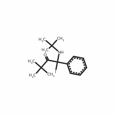 CC(C)(C)NC(I)(C(=O)C(C)(C)C)c1ccccc1